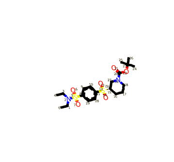 CCN(CC)S(=O)(=O)c1ccc(S(=O)(=O)[C@H]2CCCN(C(=O)OC(C)(C)C)C2)cc1